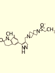 CC[S+]([O-])N1CC2(CN(Cc3cn[nH]c3-c3ccc4c(c3)CCC(=O)N4C)C2)C1